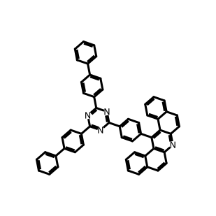 c1ccc(-c2ccc(-c3nc(-c4ccc(-c5ccccc5)cc4)nc(-c4ccc(-c5c6c(ccc7ccccc76)nc6ccc7ccccc7c56)cc4)n3)cc2)cc1